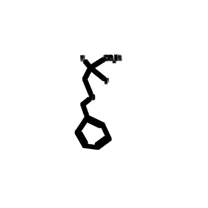 CCOC(=O)C(F)(F)COCc1ccccc1